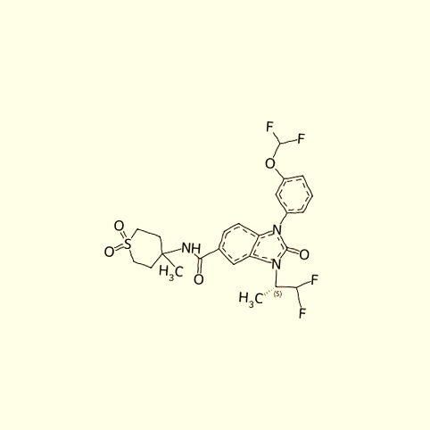 C[C@@H](C(F)F)n1c(=O)n(-c2cccc(OC(F)F)c2)c2ccc(C(=O)NC3(C)CCS(=O)(=O)CC3)cc21